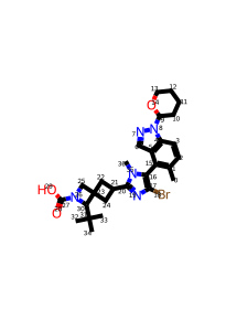 Cc1ccc2c(cnn2C2CCCCO2)c1-c1c(Br)nc(C2CC3(C2)CN(C(=O)O)C3C(C)(C)C)n1C